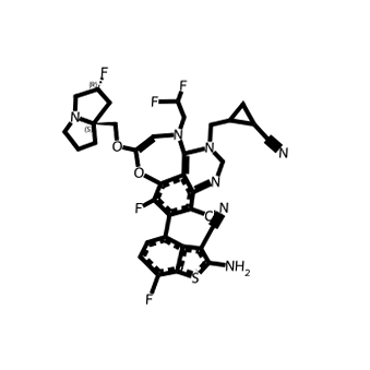 N#Cc1c(N)sc2c(F)ccc(-c3c(F)c4c5c(c3Cl)=NCN(CC3CC3C#N)C=5N(CC(F)F)C=C(OC[C@@]35CCCN3C[C@H](F)C5)O4)c12